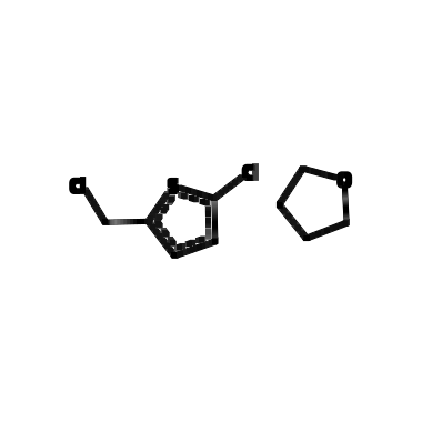 C1CCOC1.ClCc1ccc(Cl)s1